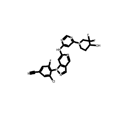 N#Cc1cc(F)c(-n2ncc3cnc(Nc4cc(N5CCC(O)C(F)(F)C5)ncn4)cc32)c(Cl)c1